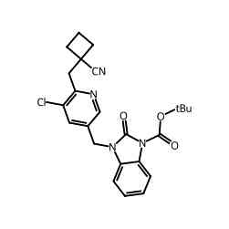 CC(C)(C)OC(=O)n1c(=O)n(Cc2cnc(CC3(C#N)CCC3)c(Cl)c2)c2ccccc21